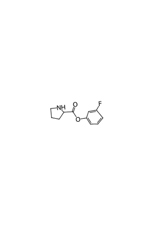 O=C(Oc1cccc(F)c1)C1CCCN1